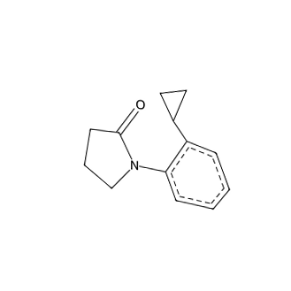 O=C1CCCN1c1ccccc1C1CC1